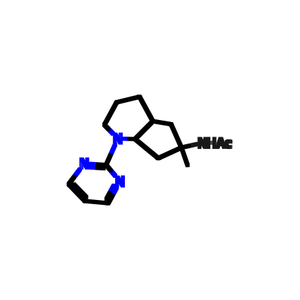 CC(=O)NC1(C)CC2CCCN(c3ncccn3)C2C1